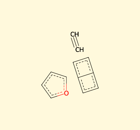 C#C.c1cc2ccc1-2.c1ccoc1